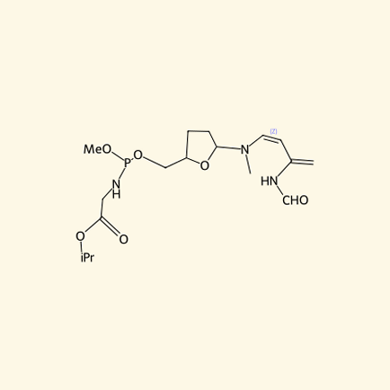 C=C(/C=C\N(C)C1CCC(COP(NCC(=O)OC(C)C)OC)O1)NC=O